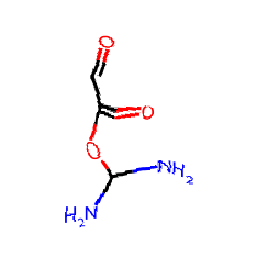 NC(N)OC(=O)C=O